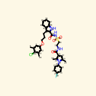 Cc1cc(OCCCc2c(C(=O)NS(=O)(=O)CCNC(=O)c3cc(C)n(-c4ccc(F)cc4)c3C)[nH]c3ccccc23)cc(C)c1Cl